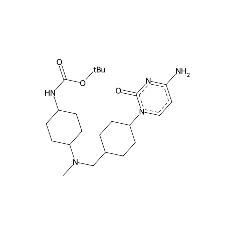 CN(CC1CCC(n2ccc(N)nc2=O)CC1)C1CCC(NC(=O)OC(C)(C)C)CC1